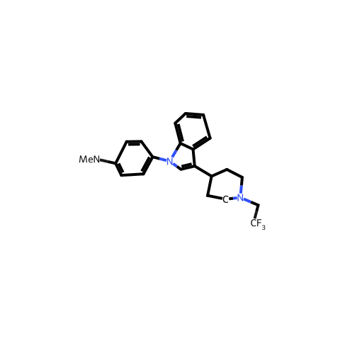 CNc1ccc(-n2cc(C3CCN(CC(F)(F)F)CC3)c3ccccc32)cc1